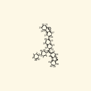 c1ccc(-c2ccc(N(c3ccc4cc(-c5ccc6oc7ccccc7c6c5)ccc4c3)c3ccc4sc5ccccc5c4c3)cc2)cc1